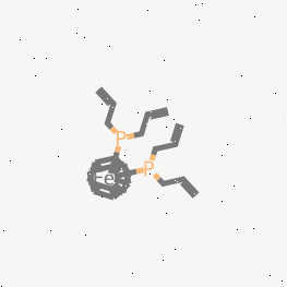 C=CCP(CC=C)[C]12[CH]3[CH]4[CH]5[C]1(P(CC=C)CC=C)[Fe]43521678[CH]2[CH]1[CH]6[CH]7[CH]28